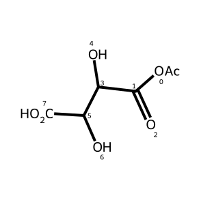 CC(=O)OC(=O)C(O)C(O)C(=O)O